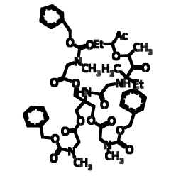 CCC(OC(C)C(=O)C(C)(CC)NCC(=O)NC(COC(=O)CN(C)C(=O)OCc1ccccc1)(COC(=O)CN(C)C(=O)OCc1ccccc1)COC(=O)CN(C)C(=O)OCc1ccccc1)C(C)=O